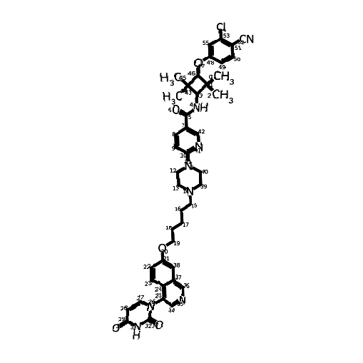 CC1(C)C(NC(=O)c2ccc(N3CCN(CCCCCOc4ccc5c(-n6ccc(=O)[nH]c6=O)cncc5c4)CC3)nc2)C(C)(C)C1Oc1ccc(C#N)c(Cl)c1